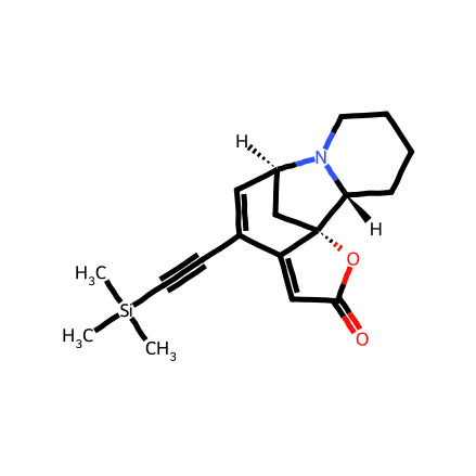 C[Si](C)(C)C#CC1=C[C@@H]2C[C@@]3(OC(=O)C=C13)[C@H]1CCCCN21